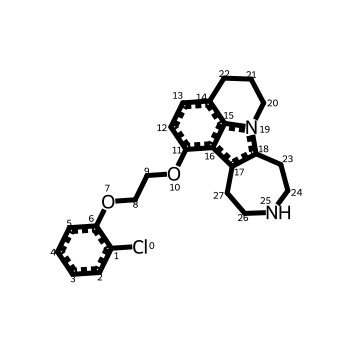 Clc1ccccc1OCCOc1ccc2c3c1c1c(n3CCC2)CCNCC1